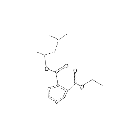 CCOC(=O)c1ccccc1C(=O)OC(C)CC(C)C